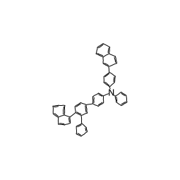 c1ccc(-c2cc(-c3ccc(N(c4ccccc4)c4ccc(-c5ccc6ccccc6c5)cc4)cc3)ccc2-c2cccc3ccccc23)cc1